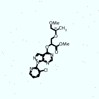 COC[C@@H](C)OCC(Oc1ncnc2c1cnn2-c1ncccc1Cl)C(=O)OC